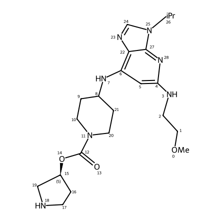 COCCNc1cc(NC2CCN(C(=O)O[C@H]3CCNC3)CC2)c2ncn(C(C)C)c2n1